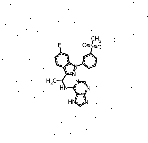 CC(Nc1ncnc2nc[nH]c12)c1nn(-c2cccc(S(C)(=O)=O)c2)c2cc(F)ccc12